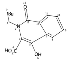 CC(C)(C)Cn1c(C(=O)O)c(O)c2ccccc2c1=O